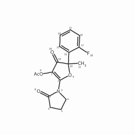 CC(=O)OC1=C(N2CCCC2=O)OC(C)(c2ccccc2F)C1=O